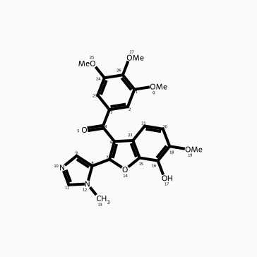 COc1cc(C(=O)c2c(-c3cncn3C)oc3c(O)c(OC)ccc23)cc(OC)c1OC